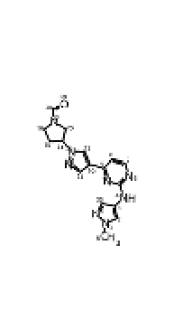 Cn1cc(Nc2nccc(-c3cnn(C4CCN(C=O)C4)c3)n2)cn1